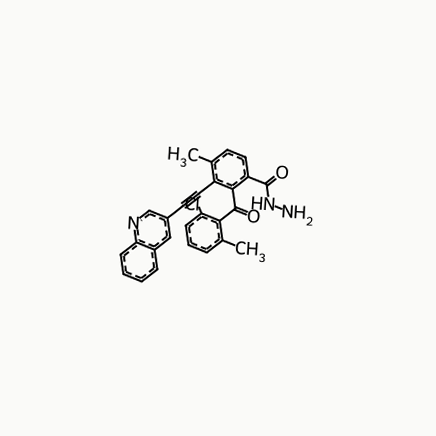 Cc1ccc(C(=O)NN)c(C(=O)c2c(C)cccc2Cl)c1C#Cc1cnc2ccccc2c1